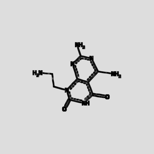 NCCn1c(=O)[nH]c(=O)c2c(N)nc(N)nc21